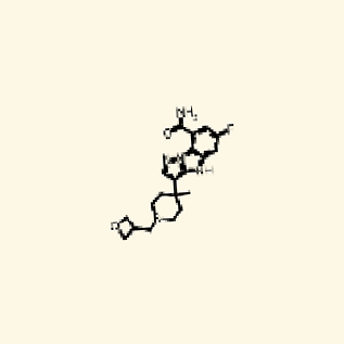 CC1(c2cnn3c2[nH]c2cc(F)cc(C(N)=O)c23)CCN(CC2COC2)CC1